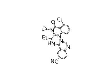 CCC(Nc1ncnc2ccc(C#N)cc12)c1nc2cccc(Cl)c2c(=O)n1C1CC1